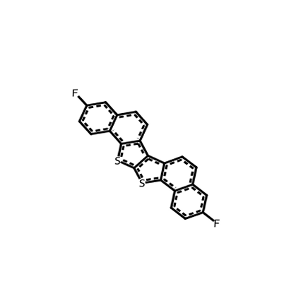 Fc1ccc2c(ccc3c2sc2sc4c5ccc(F)cc5ccc4c23)c1